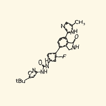 Cc1cnc(-c2ccc(-c3ccc(NC(=O)Nc4cc(C(C)(C)C)on4)cc3F)c3c2C(=O)NC3)[nH]1